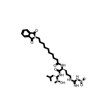 CB(O)[C@H](CC(C)C)NC(=O)[C@H](CCCNC(=N)N[N+](=O)[O-])NC(=O)CCCCCCCCCN1C(=O)c2ccccc2C1=O